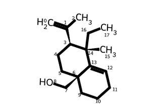 C=C(C)[C@@H]1CC[C@@]2(CO)CCCC=C2[C@@]1(C)CC